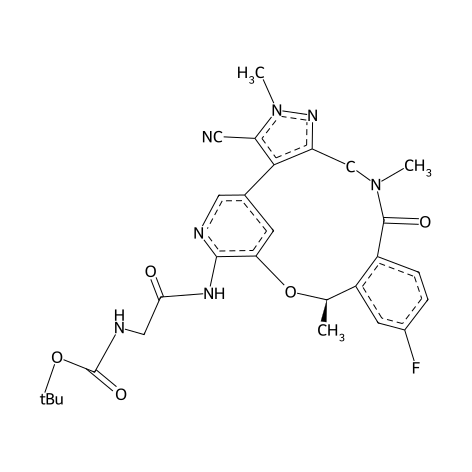 C[C@H]1Oc2cc(cnc2NC(=O)CNC(=O)OC(C)(C)C)-c2c(nn(C)c2C#N)CN(C)C(=O)c2ccc(F)cc21